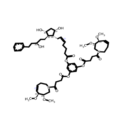 CO[C@H]1C#CCCN(C(=O)CCC(=O)Oc2cc(OC(=O)CCC/C=C\C[C@@H]3[C@@H](CC[C@@H](O)CCc4ccccc4)[C@H](O)C[C@@H]3O)cc(OC(=O)CCC(=O)N3CC/C=C\[C@H](OC)[C@@H](OC)C3)c2)C[C@@H]1OC